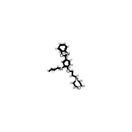 C/C=C/C=Nc1cc(-c2nc3ccccc3o2)ccc1OCCCN1CCOCC1